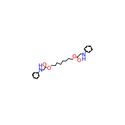 O=C(CNc1ccccc1)OCCCCCCCCOC(=O)CNc1ccccc1